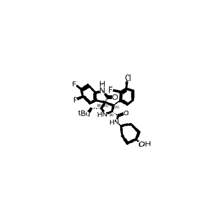 CC(C)(C)C[C@H]1N[C@@H](C(=O)N[C@H]2CC[C@H](O)CC2)[C@H](c2cccc(Cl)c2F)[C@@]12C(=O)Nc1cc(F)c(F)cc12